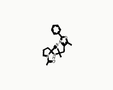 CC(=O)N1CCCC1(C#N)NC(C)(C)Cc1nc(-c2ccccc2)oc1C